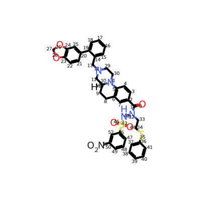 O=C(c1ccc2c(c1)CC[C@H]1CN(Cc3ccccc3-c3ccc4c(c3)OCO4)CCN21)N(CCSc1ccccc1)NS(=O)(=O)c1cccc([N+](=O)[O-])c1